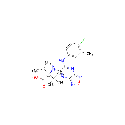 Cc1cc(Nc2nc3nonc3nc2N[C@@](C(=O)O)(C(C)C)C(C)(C)C)ccc1Cl